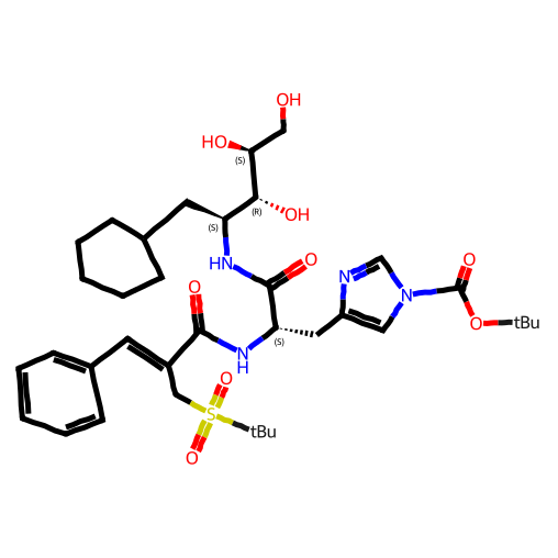 CC(C)(C)OC(=O)n1cnc(C[C@H](NC(=O)C(=Cc2ccccc2)CS(=O)(=O)C(C)(C)C)C(=O)N[C@@H](CC2CCCCC2)[C@@H](O)[C@@H](O)CO)c1